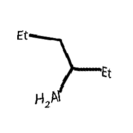 CCC[CH]([AlH2])CC